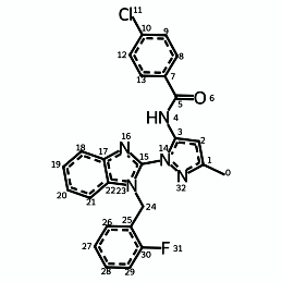 Cc1cc(NC(=O)c2ccc(Cl)cc2)n(-c2nc3ccccc3n2Cc2ccccc2F)n1